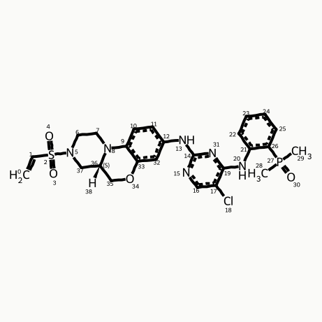 C=CS(=O)(=O)N1CCN2c3ccc(Nc4ncc(Cl)c(Nc5ccccc5P(C)(C)=O)n4)cc3OC[C@@H]2C1